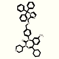 Cc1ccc2c(c1)N(c1ccc(COCc3nccn3C(c3ccccc3)(c3ccccc3)c3ccccc3)cc1)C(=O)N(C1CCOCC1)N=C2C1CCCCC1